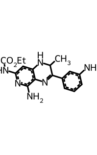 CCOC(=O)Nc1cc2c(c(N)n1)N=C(c1cccc(N)c1)C(C)N2